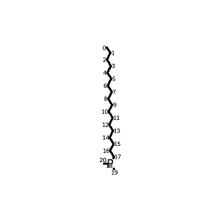 CCCCCCCCCCCCCCCCCCP(C)C